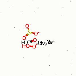 C=O.CC(C)(C)OO.O=S([O-])[O-].[Na+].[Na+]